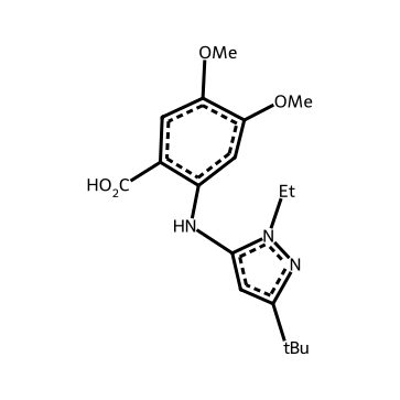 CCn1nc(C(C)(C)C)cc1Nc1cc(OC)c(OC)cc1C(=O)O